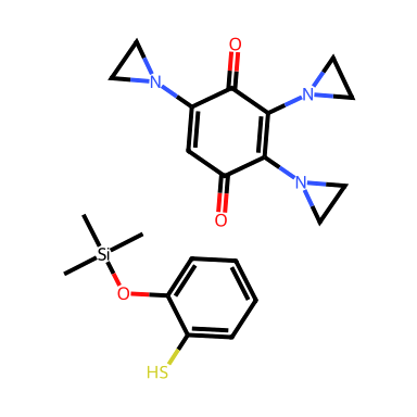 C[Si](C)(C)Oc1ccccc1S.O=C1C=C(N2CC2)C(=O)C(N2CC2)=C1N1CC1